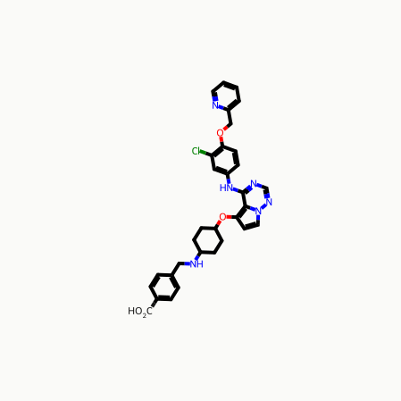 O=C(O)c1ccc(CNC2CCC(Oc3ccn4ncnc(Nc5ccc(OCc6ccccn6)c(Cl)c5)c34)CC2)cc1